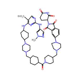 CCOC(=O)c1cnc(Nc2cnn(C)c2)nc1NC1CCC(N2CCN(CC3CCC(C(=O)N4CCC(CN5CCN(c6ccc7c(c6)C(=O)N(C6CCC(=O)NC6=O)C7=O)CC5)CC4)CC3)CC2)CC1